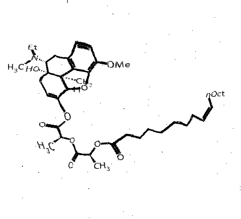 CCCCCCCC/C=C\CCCCCCCC(=O)O[C@@H](C)C(=O)O[C@@H](C)C(=O)OC1=CC[C@@]2(O)[C@H](N(C)CC)Cc3ccc(OC)c4c3[C@@]2(C)[C@H]1O4